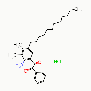 CCCCCCCCCCCCc1cc(C(=O)C(=O)c2ccccc2)c(N)c(C)c1C.Cl